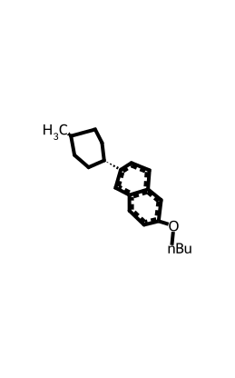 CCCCOc1ccc2cc([C@H]3CC[C@H](C)CC3)ccc2c1